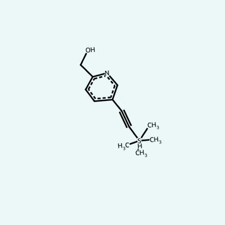 C[SH](C)(C)(C)C#Cc1ccc(CO)nc1